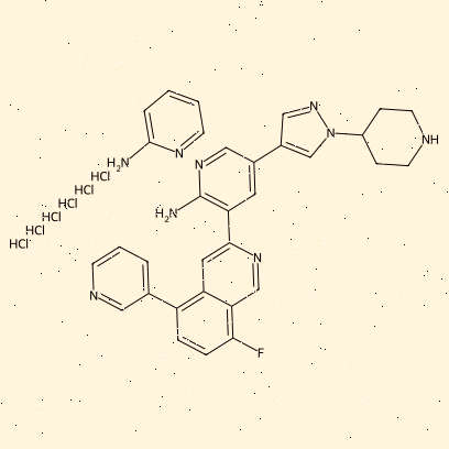 Cl.Cl.Cl.Cl.Cl.Cl.Nc1ccccn1.Nc1ncc(-c2cnn(C3CCNCC3)c2)cc1-c1cc2c(-c3cccnc3)ccc(F)c2cn1